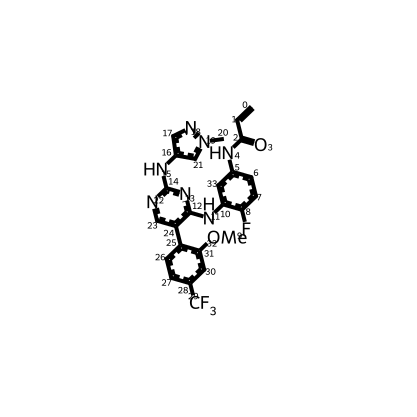 C=CC(=O)Nc1ccc(F)c(Nc2nc(Nc3cnn(C)c3)ncc2-c2ccc(C(F)(F)F)cc2OC)c1